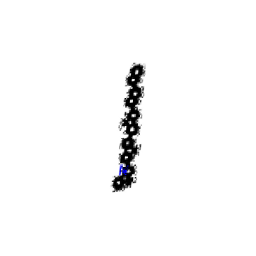 CC1(C)c2cc(-c3ccc4c(c3)C(C)(C)c3cc(-c5ccc6c(n5)-c5ccccc5C6(C)C)ccc3-4)ccc2-c2ccc(-c3ccc4cc(-c5ccc6ccccc6c5)ccc4c3)cc21